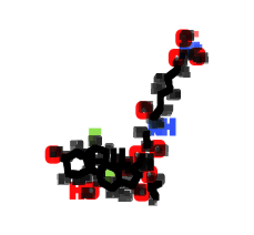 CC1(C)O[C@@H]2C[C@H]3[C@@H]4C[C@H](F)C5=CC(=O)C=C[C@]5(C)[C@@]4(F)[C@@H](O)C[C@]3(C)[C@]2(C(=O)COC(=O)CNC(=O)CCCCCO[N+](=O)[O-])O1